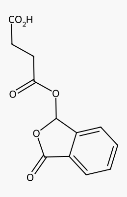 O=C(O)CCC(=O)OC1OC(=O)c2ccccc21